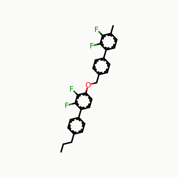 CCCc1ccc(-c2ccc(OCc3ccc(-c4ccc(C)c(F)c4F)cc3)c(F)c2F)cc1